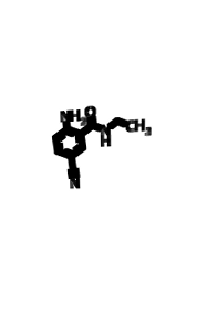 CCNC(=O)c1cc(C#N)ccc1N